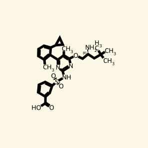 Cc1cccc(C2CC2)c1-c1nc(NS(=O)(=O)c2cccc(C(=O)O)c2)nc(OC[C@H](N)CC(C)(C)C)c1C